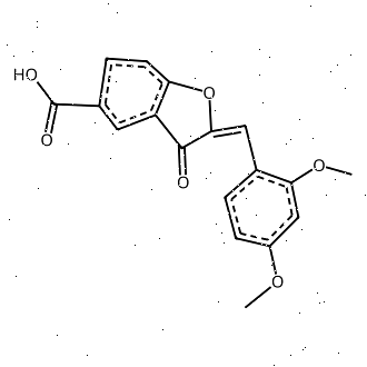 COc1ccc(C=C2Oc3ccc(C(=O)O)cc3C2=O)c(OC)c1